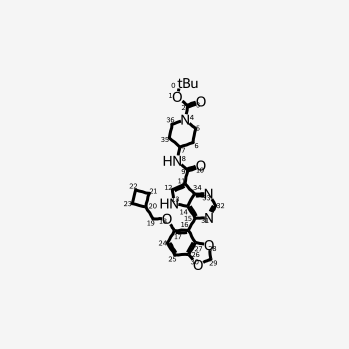 CC(C)(C)OC(=O)N1CCC(NC(=O)c2c[nH]c3c(-c4c(OCC5CCC5)ccc5c4OCO5)ncnc23)CC1